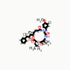 COc1ccc(C[C@H]2NC(=O)/C=C/CC([C@H](C)[C@@H](O)[C@@H](Cl)c3ccccc3)OC(=O)[C@H](CC(C)C)OC(=O)C(C)(C)CNC2=O)cc1Cl